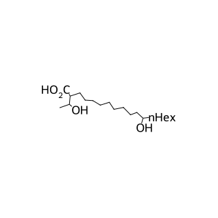 CCCCCCC(O)CCCCCCCCCC(C(=O)O)C(C)O